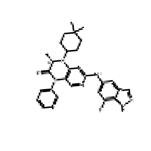 C[C@@H]1C(=O)N(c2cccnc2)c2cnc(Nc3cc(F)c4[nH]ncc4c3)nc2N1C1CCC(C)(C)CC1